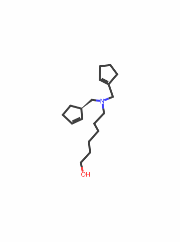 OCCCCCCN(CC1=CCCC1)C[C@H]1C=CCC1